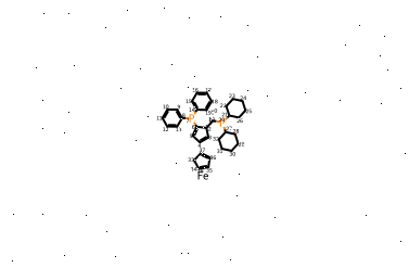 C[C@@H]([C]1C=CC=C1P(c1ccccc1)c1ccccc1)P(C1CCCCC1)C1CCCCC1.[CH]1C=CC=C1.[Fe]